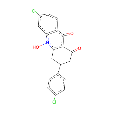 O=C1CC(c2ccc(Cl)cc2)Cc2c1c(=O)c1ccc(Cl)cc1n2O